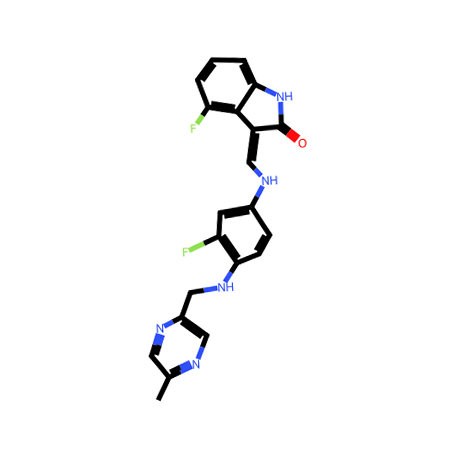 Cc1cnc(CNc2ccc(NC=C3C(=O)Nc4cccc(F)c43)cc2F)cn1